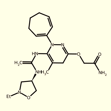 C=C(NC1=C(C)CC(OCC(N)=O)=NN1C1=CCCCC=C1)N[C@H]1CON(CC)C1